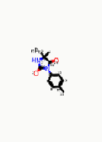 CCCC1(C)NC(=O)N(c2ccc(C)cc2)C1=O